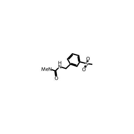 CNC(=O)NCc1cccc(S(C)(=O)=O)c1